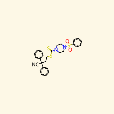 N#CC(CCSC(=S)N1CCN(S(=O)(=O)c2ccccc2)CC1)(c1ccccc1)c1ccccc1